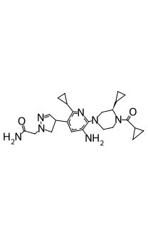 NC(=O)CN1CC(c2cc(N)c(N3CCN(C(=O)C4CC4)[C@H](C4CC4)C3)nc2C2CC2)C=N1